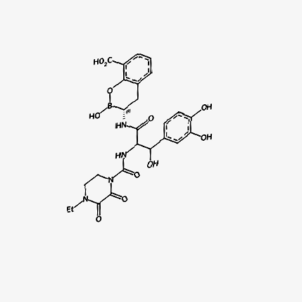 CCN1CCN(C(=O)NC(C(=O)N[C@H]2Cc3cccc(C(=O)O)c3OB2O)C(O)c2ccc(O)c(O)c2)C(=O)C1=O